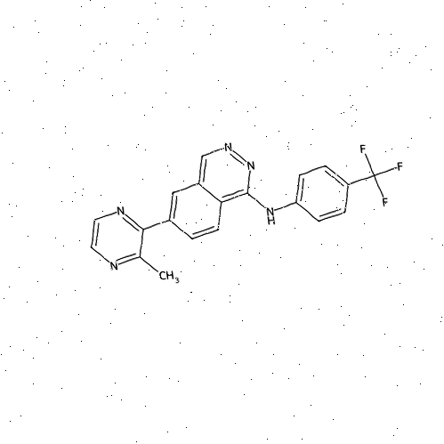 Cc1nccnc1-c1ccc2c(Nc3ccc(C(F)(F)F)cc3)nncc2c1